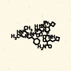 CC(C)C1(C2C[C@@H](C(=O)NC(CC3CCC3)C(=O)C(N)=O)N(C(=O)[C@H](NC(=O)NC(CN3C[C@@H](C)N[C@@H](C)C3)C3CCCCC3)C(C)(C)C)C2)CCC1